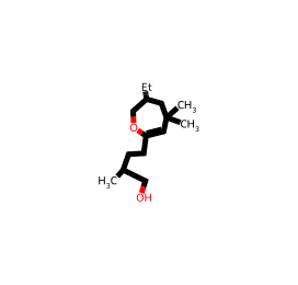 CCC1COC(CCC(C)CO)=CC(C)(C)C1